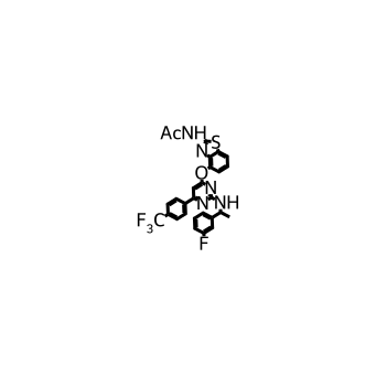 CC(=O)Nc1nc2c(Oc3cc(-c4ccc(C(F)(F)F)cc4)nc(NC(C)c4cccc(F)c4)n3)cccc2s1